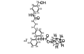 C[N+]1(C)[C@@H]2C[C@@H](OC(=O)Nc3ccc(CCCC(=O)Nc4ccc(CO)cc4)cc3-c3ccccc3)C[C@H]1[C@@H]1O[C@@H]12.[I-]